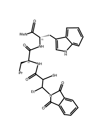 CCC(C(S)C(=O)N[C@@H](CC(C)C)C(=O)N[C@@H](Cc1c[nH]c2ccccc12)C(=O)NC)N1C(=O)c2ccccc2C1=O